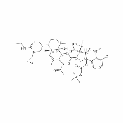 CCNC(=O)N(CC(C)[C@@H]1CC[C@@H](C)[C@@]2(O)[C@@H]1C=C(C)C(OC(C)=O)[C@@H]2OC(=O)[C@@H]1C[C@@]2(OC(=O)OC(C)(C)C)c3cccc(Cl)c3N(C)O[C@H]2[N+]1(C(=O)[O-])C(C)(C)C)C1CC1